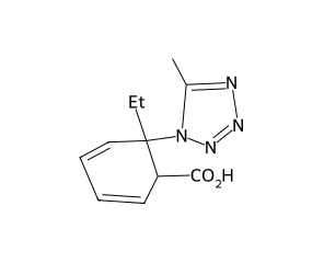 CCC1(n2nnnc2C)C=CC=CC1C(=O)O